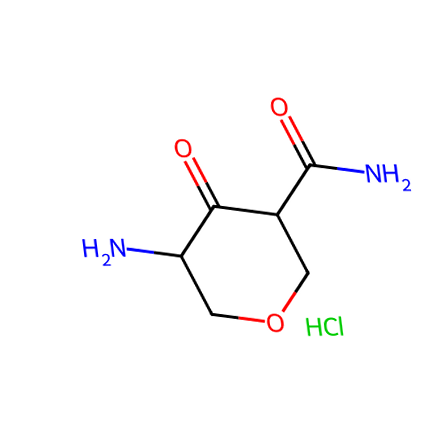 Cl.NC(=O)C1COCC(N)C1=O